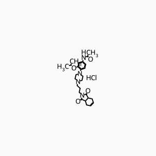 CC(=O)Nc1ccc(N2CCN(CCCN3C(=O)C4CC=CCC4C3=O)CC2)c(OC(C)C)c1.Cl